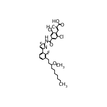 CCCCCCCC(CCc1cccc(-c2csc(NC(=O)c3cc(Cl)c(C=C(C)C(=O)O)c(Cl)c3)n2)c1F)OC